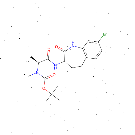 C[C@@H](C(=O)NC1CCc2ccc(Br)cc2NC1=O)N(C)C(=O)OC(C)(C)C